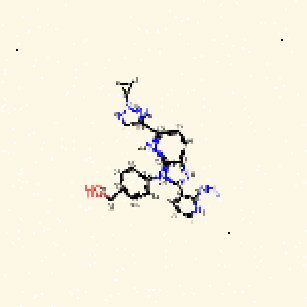 Nc1ncccc1-c1nc2ccc(-c3cnn(C4CC4)n3)nc2n1-c1ccc(CO)cc1